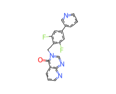 O=c1c2cccnc2ncn1Cc1c(F)cc(-c2cccnc2)cc1F